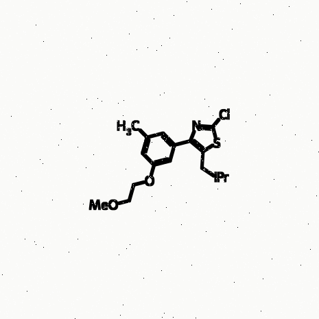 COCCOc1cc(C)cc(-c2nc(Cl)sc2CC(C)C)c1